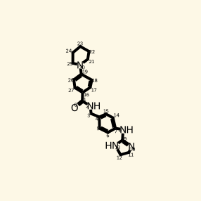 O=C(NCc1ccc(NC2=NCCN2)cc1)c1ccc(N2CCCCC2)cc1